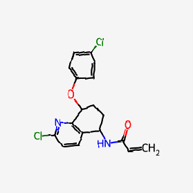 C=CC(=O)NC1CCC(Oc2ccc(Cl)cc2)c2nc(Cl)ccc21